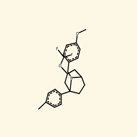 COc1ccc(CN2C3CCC2(c2ccc(C)cc2)CC(OC(F)F)C3)cc1